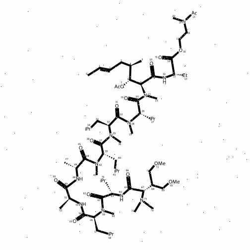 C/C=C/C[C@@H](C)[C@@H](OC(C)=O)[C@@H](C(=O)N[C@@H](CC)C(=O)OCCN(C)C(C)=O)N(C)C(=O)[C@H](C(C)C)N(C)C(=O)[C@H](CC(C)C)N(C)C(=O)[C@H](CC(C)C)N(C)C(=O)[C@@H](C)NC(=O)[C@H](C)NC(=O)[C@H](CC(C)C)N(C)C(=O)[C@@H](NC(=O)[C@H](C(COC)COC)N(C)C)C(C)C